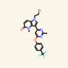 Cc1nc(Oc2ccc(C(F)(F)F)cc2)cc(-c2cn(CCBr)c3ccc(=O)n(C)c23)n1